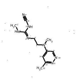 CNC(=NCCN(C)c1cnnc(C)c1)NC#N